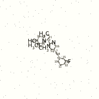 CC=C(c1ncc(C#Cc2cccc(F)c2)cn1)N1CCC(O)C(C)(C)C1